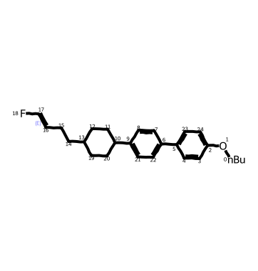 CCCCOc1ccc(-c2ccc(C3CCC(CC/C=C/F)CC3)cc2)cc1